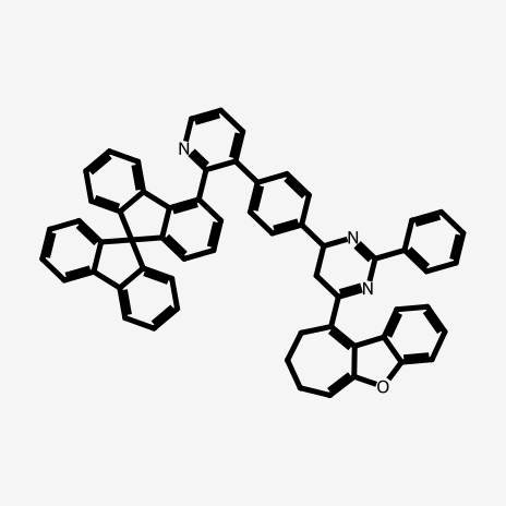 C1=c2oc3ccccc3c2=C(C2=NC(c3ccccc3)=NC(c3ccc(-c4cccnc4-c4cccc5c4-c4ccccc4C54c5ccccc5-c5ccccc54)cc3)C2)CCC1